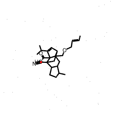 CC=CCOCC12CC3C(C)CCC3C3(C#N)CC1C=C(C(C)C)C32C(=O)O